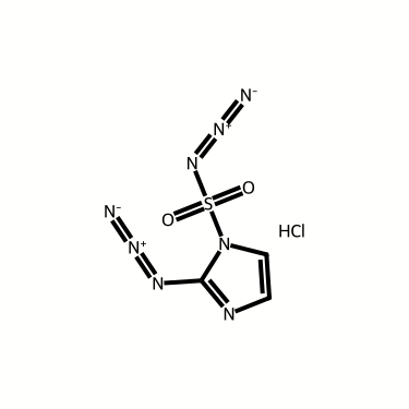 Cl.[N-]=[N+]=Nc1nccn1S(=O)(=O)N=[N+]=[N-]